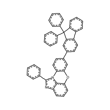 c1ccc(-c2nc3cccc4c3n2-c2ccc(-c3ccc5c(c3)C(c3ccccc3)(c3ccccc3)c3ccccc3-5)cc2O4)cc1